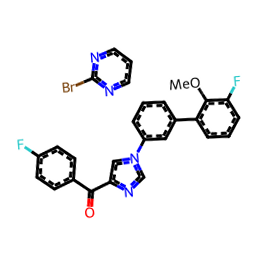 Brc1ncccn1.COc1c(F)cccc1-c1cccc(-n2cnc(C(=O)c3ccc(F)cc3)c2)c1